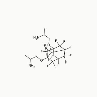 CC(N)COC12C(F)(F)C3(F)C(F)(F)C(F)(C1(F)F)C(F)(F)C(OCC(C)N)(C3(F)F)C2(F)F